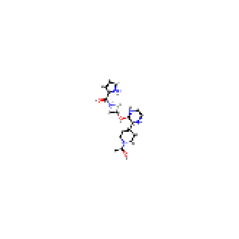 CC(=O)N1CC=C(c2nccnc2OC2CN(C(=O)c3ccc[nH]3)C2)CC1